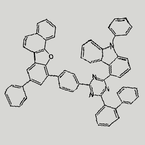 c1ccc(-c2cc(-c3ccc(-c4nc(-c5ccccc5-c5ccccc5)nc(-c5cccc6c5c5ccccc5n6-c5ccccc5)n4)cc3)c3oc4c5ccccc5ccc4c3c2)cc1